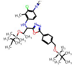 [C-]#[N+]c1ccc(N[C@@H](c2nnc(-c3ccc(CO[Si](C)(C)C(C)(C)C)cc3)o2)[C@H](C)O[Si](C)(C)C(C)(C)C)c(C)c1Cl